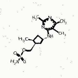 Cc1nc(C)c(C)c(N[C@@H]2C[C@@H](COS(N)(=O)=O)[C@@H](C)C2)n1